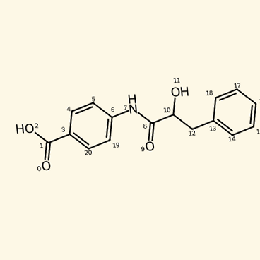 O=C(O)c1ccc(NC(=O)C(O)Cc2ccccc2)cc1